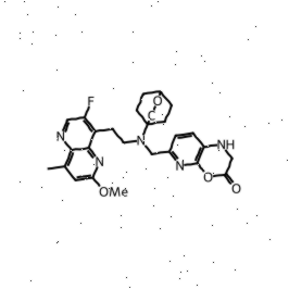 COc1cc(C)c2ncc(F)c(CCN(Cc3ccc4c(n3)OC(=O)CN4)C34CCC(CC3)OC4)c2n1